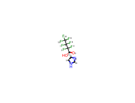 O=C(O)C(F)(F)C(F)(F)C(F)(F)F.c1c[nH]cn1